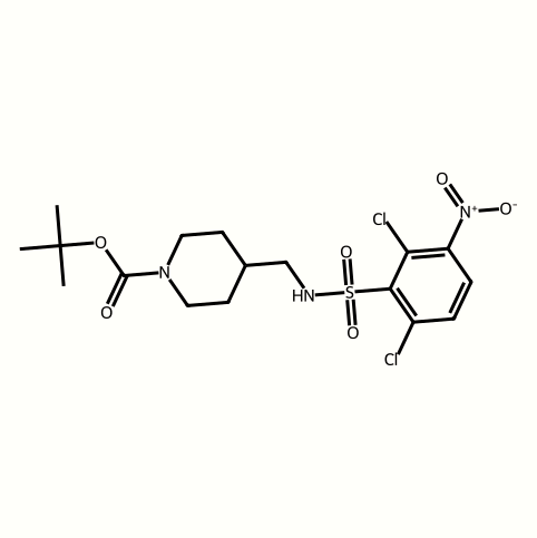 CC(C)(C)OC(=O)N1CCC(CNS(=O)(=O)c2c(Cl)ccc([N+](=O)[O-])c2Cl)CC1